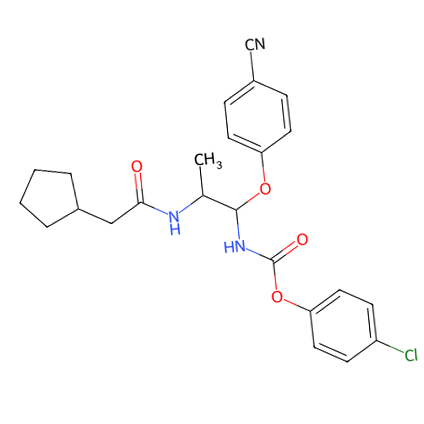 CC(NC(=O)CC1CCCC1)C(NC(=O)Oc1ccc(Cl)cc1)Oc1ccc(C#N)cc1